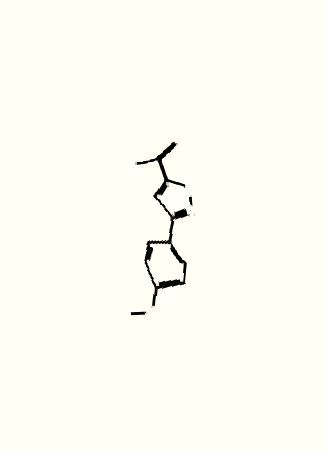 COc1ccc(-c2cc(C(=O)Cl)on2)cc1